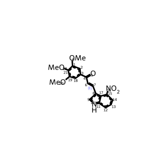 COc1cc(C(=O)/C=C/c2c[nH]c3cccc([N+](=O)[O-])c23)cc(OC)c1OC